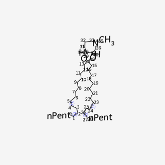 CCCCC/C=C\C/C=C\CCCCCCCCC1(CCCCCCCC/C=C\C/C=C\CCCCC)O[C@H]2CCCN(C)C[C@H]2O1